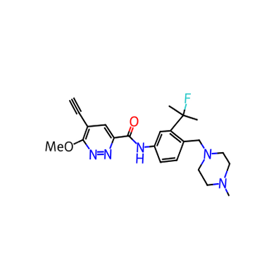 C#Cc1cc(C(=O)Nc2ccc(CN3CCN(C)CC3)c(C(C)(C)F)c2)nnc1OC